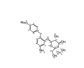 COc1ccc(Cc2ccc(N)cc2O[C@@H]2O[C@](C)(CO)[C@@H](O)[C@H](O)[C@H]2O)cc1